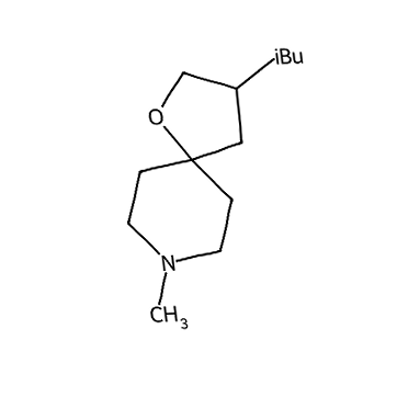 CCC(C)C1COC2(CCN(C)CC2)C1